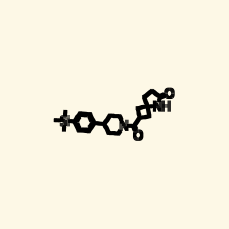 C[Si](C)(C)c1ccc(C2CCN(C(=O)C3CC4(CCC(=O)N4)C3)CC2)cc1